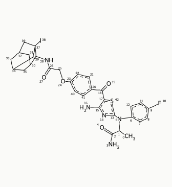 CC(C(N)=O)N(c1ccc(F)cc1)c1nc(N)c(C(=O)c2ccc(OCC(=O)NC3C4CC5CC(C4)CC3(I)C5)cc2)s1